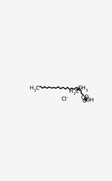 CCCCCCCCCCCCCCCCCC[N+](C)(C)CCCOS(=O)(=O)O.[Cl-]